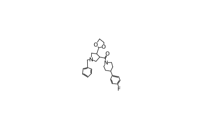 O=C(C1CN(Cc2ccccc2)CC1C1OCCO1)N1CCC(c2ccc(F)cc2)CC1